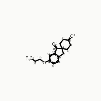 O=C1CCC2(CC1)Cc1ccc(OCCC(F)(F)F)cc1C2=O